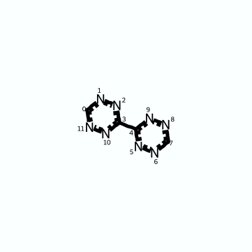 c1nnc(-c2nncnn2)nn1